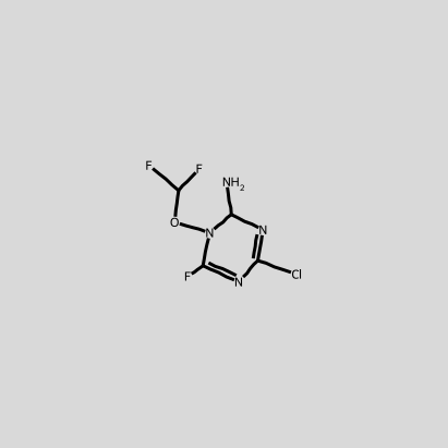 NC1N=C(Cl)N=C(F)N1OC(F)F